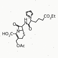 CCOC(=O)CCCC(C(=O)NC1C(=O)N2C(C(=O)O)=C(COC(C)=O)CSC12)n1cccc1